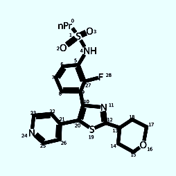 CCCS(=O)(=O)Nc1cccc(-c2nc(C3CCOCC3)sc2-c2ccncc2)c1F